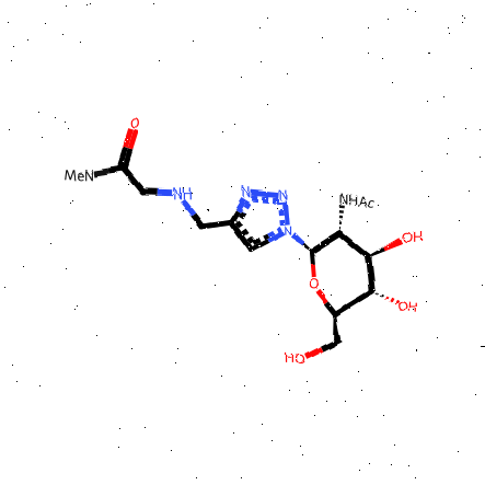 CNC(=O)CNCc1cn([C@@H]2O[C@H](CO)[C@@H](O)[C@H](O)[C@H]2NC(C)=O)nn1